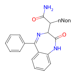 CCCCCCCCCC(C(N)=O)C1N=C(c2ccccc2)c2ccccc2NC1=O